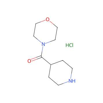 Cl.O=C(C1CCNCC1)N1CCOCC1